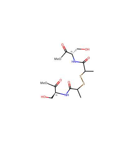 COC(=O)[C@H](CO)NC(=O)C(C)SSC(C)C(=O)N[C@@H](CO)C(=O)OC